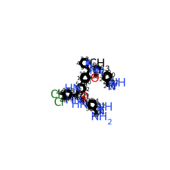 CN1CCCCC1C(c1ccccc1)n1ccn(-c2ccc3[nH]ncc3c2)c1=O.Nc1n[nH]c2ccc(NC(=O)N[C@@H](c3ccc(Cl)c(Cl)c3)[C@@H]3CCCCN3)cc12